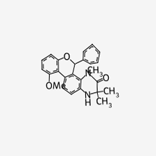 COc1cccc2c1-c1ccc3c(c1C(c1ccccc1)O2)N(C)C(=O)C(C)(C)N3